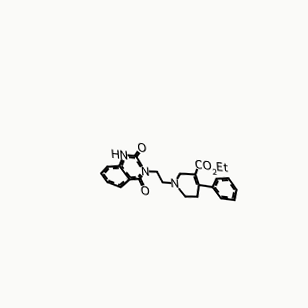 CCOC(=O)C1=C(c2ccccc2)CCN(CCn2c(=O)[nH]c3ccccc3c2=O)C1